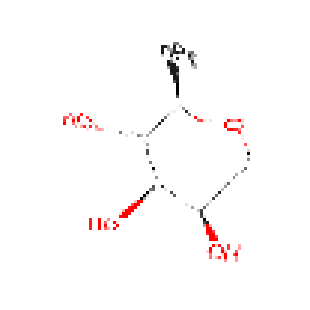 CCC[C@H]1OC[C@@H](O)[C@@H](O)[C@@H]1O